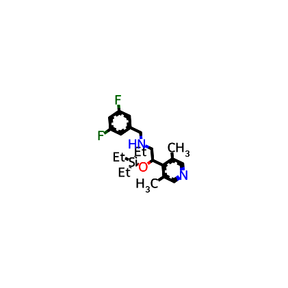 CC[Si](CC)(CC)OC(CNCc1cc(F)cc(F)c1)c1c(C)cncc1C